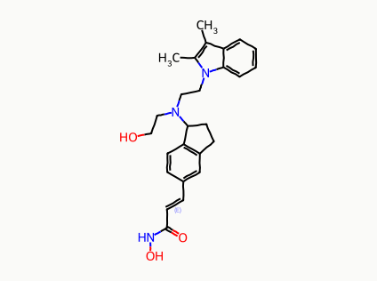 Cc1c(C)n(CCN(CCO)C2CCc3cc(/C=C/C(=O)NO)ccc32)c2ccccc12